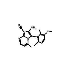 COc1ccc(C)c(-c2c(N)c(C#N)c3nccc(C)n23)c1C